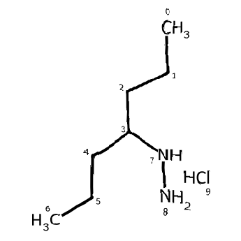 CCCC(CCC)NN.Cl